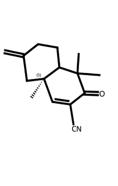 C=C1CCC2C(C)(C)C(=O)C(C#N)=C[C@@]2(C)C1